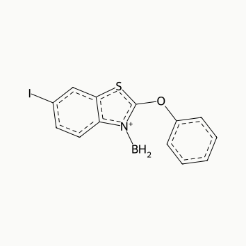 B[n+]1c(Oc2ccccc2)sc2cc(I)ccc21